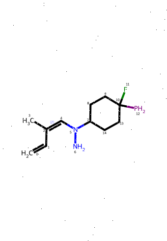 C=C/C(C)=C\N(N)C1CCC(F)(P)CC1